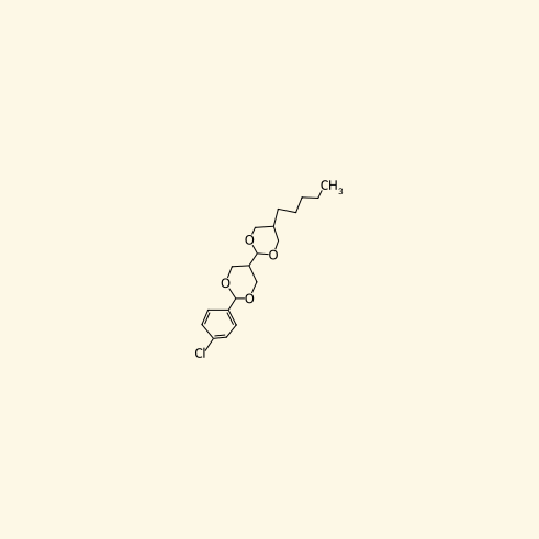 CCCCCC1COC(C2COC(c3ccc(Cl)cc3)OC2)OC1